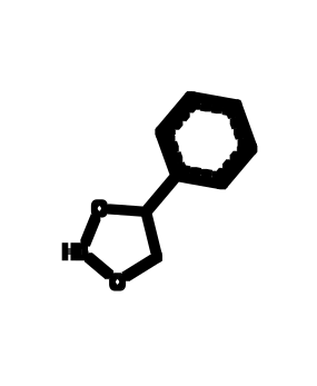 B1OCC(c2ccccc2)O1